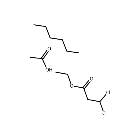 CC(=O)O.CCCCCC.CCOC(=O)CC(Cl)Cl